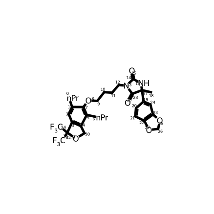 CCCc1cc2c(c(CCC)c1OCCCCN1C(=O)NC(C)(c3ccc4c(c3)OCO4)C1=O)COC2(C(F)(F)F)C(F)(F)F